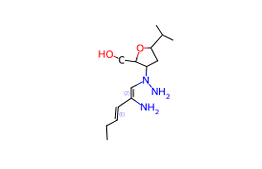 CC/C=C/C(N)=C/N(N)C1CC(C(C)C)OC1CO